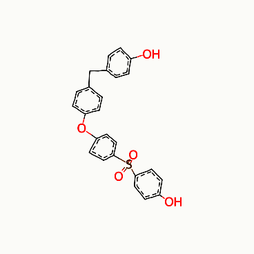 O=S(=O)(c1ccc(O)cc1)c1ccc(Oc2ccc(Cc3ccc(O)cc3)cc2)cc1